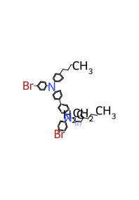 C=C(/C=C\C(=C)N(c1ccc(Br)cc1)c1ccc(-c2ccc(N(c3ccc(Br)cc3)c3ccc(CCCC)cc3)cc2)cc1)CCCC